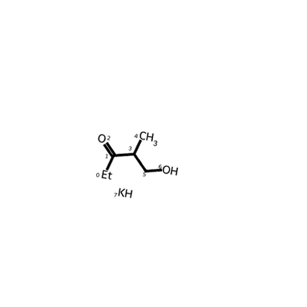 CCC(=O)C(C)CO.[KH]